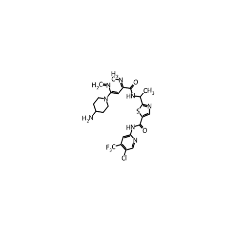 C=N/C(=C\C(=N/C)C(=O)NC(C)c1ncc(C(=O)Nc2cc(C(F)(F)F)c(Cl)cn2)s1)N1CCC(N)CC1